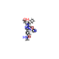 CB(Cc1ccccc1)N(CC1CC(C)(O)C1)c1cc(Oc2cccnc2)nc2c(-c3ccc(C(=O)NC4CC4)c(C)c3)cnn12